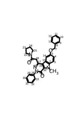 Cn1c2ccc(OCc3ccccc3)cc2c2c(CC(=O)N3CCCC3)nn(-c3ccccc3)c(=O)c21